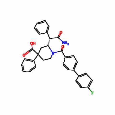 NC(=O)[C@@H](c1ccccc1)C1CC(C(=O)O)(c2ccccc2)CCN1C(=O)c1ccc(-c2ccc(F)cc2)cc1